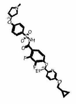 CC[C@@H](Oc1ccc(C(=O)NS(=O)(=O)c2ccc(O[C@H]3CCN(C)C3)cc2)c(F)c1F)c1ccc(OCC2CC2)cn1